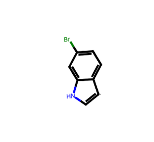 Brc1ccc2[c]c[nH]c2c1